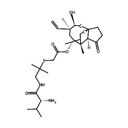 C=C[C@]1(C)C[C@@H](OC(=O)CSC(C)(C)CNC(=O)[C@H](N)C(C)C)[C@]2(C)C(C)CC[C@]3(CCC(=O)[C@H]32)C[C@@H]1O